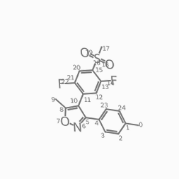 Cc1ccc(-c2noc(C)c2-c2cc(F)c(S(C)(=O)=O)cc2F)cc1